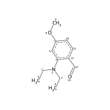 CCN(CC)c1cc(OC)ccc1C=O